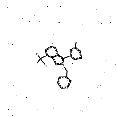 [CH2]c1cccc(-c2c3cccc(C(F)(F)F)c3nn2Cc2ccccc2)c1